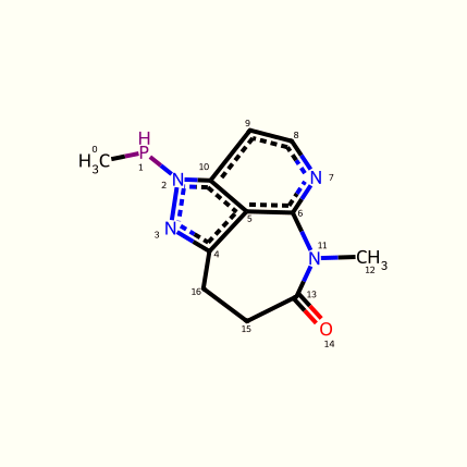 CPn1nc2c3c(nccc31)N(C)C(=O)CC2